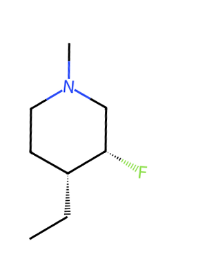 CC[C@@H]1CCN(C)C[C@@H]1F